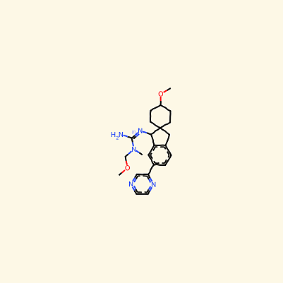 COCN(C)/C(N)=N\C1c2cc(-c3cnccn3)ccc2CC12CCC(OC)CC2